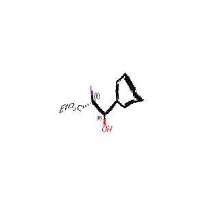 CCOC(=O)[C@H](I)[C@H](O)c1ccccc1